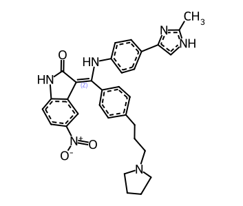 Cc1nc(-c2ccc(N/C(=C3\C(=O)Nc4ccc([N+](=O)[O-])cc43)c3ccc(CCCN4CCCC4)cc3)cc2)c[nH]1